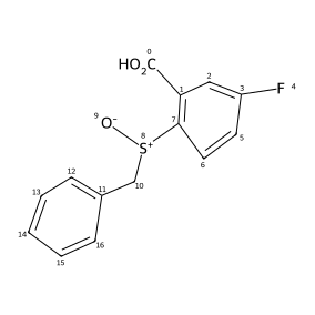 O=C(O)c1cc(F)ccc1[S+]([O-])Cc1ccccc1